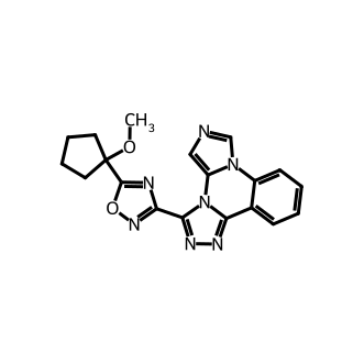 COC1(c2nc(-c3nnc4c5ccccc5n5cncc5n34)no2)CCCC1